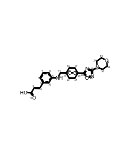 O=C(O)/C=C/c1cccc(NCC23CCC(c4nc(N5CCOCC5)no4)(CC2)CC3)c1